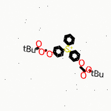 CC(C)(C)OC(=O)COc1ccc([S+](c2ccccc2)c2ccc(OCOC(=O)C(C)(C)C)cc2)cc1